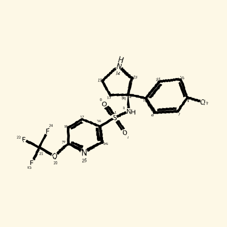 O=S(=O)(N[C@@]1(c2ccc(Cl)cc2)CCNC1)c1ccc(OC(F)(F)F)nc1